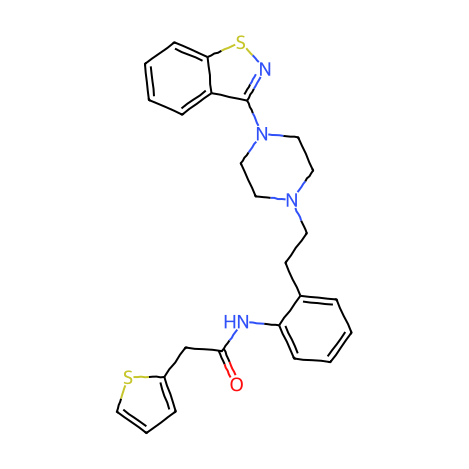 O=C(Cc1cccs1)Nc1ccccc1CCN1CCN(c2nsc3ccccc23)CC1